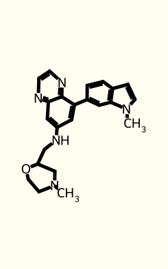 CN1CCOC(CNc2cc(-c3ccc4ccn(C)c4c3)c3nccnc3c2)C1